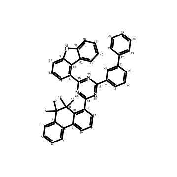 CC1(C)c2ccccc2-c2cccc(-c3nc(-c4cccc(-c5ccccc5)c4)nc(-c4cccc5oc6ccccc6c45)n3)c2C1(C)C